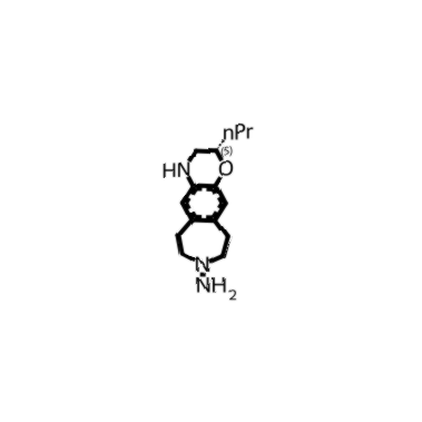 CCC[C@H]1CNc2cc3c(cc2O1)CCN(N)CC3